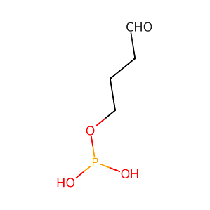 O=CCCCOP(O)O